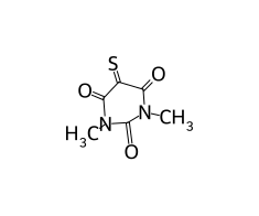 CN1C(=O)C(=S)C(=O)N(C)C1=O